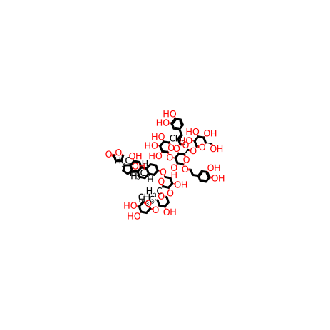 C[C@@H]1O[C@@H](O[C@@H]2[C@@H](O)[C@H](OCCc3ccc(O)c(O)c3)O[C@H](CO[C@@H]3O[C@H](CO)[C@@H](O)[C@H](O)[C@H]3O)[C@H]2OC(=O)/C=C/c2ccc(O)c(O)c2)[C@H](O)[C@H](O)[C@H]1O.C[C@H]1O[C@@H](O[C@H]2[C@@H](O)C[C@H](O[C@H]3[C@@H](O)C[C@H](O[C@H]4CC[C@@]5(C)[C@H](CC[C@@H]6[C@@H]5C[C@@H](O)[C@]5(C)[C@@H](C7=CC(=O)OC7)CC[C@]65O)C4)O[C@@H]3C)O[C@@H]2C)C[C@H](O)[C@@H]1O